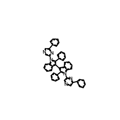 c1ccc(-c2cncc(-n3c(-c4ccccc4)c(-c4c(-c5ccccc5)n(-c5cncc(-c6ccccc6)n5)c5ccccc45)c4ccccc43)n2)cc1